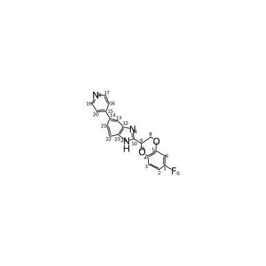 Fc1ccc2c(c1)OCC(c1nc3cc(-c4ccncc4)ccc3[nH]1)O2